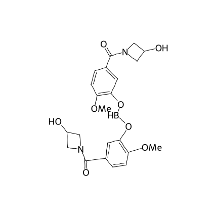 COc1ccc(C(=O)N2CC(O)C2)cc1OBOc1cc(C(=O)N2CC(O)C2)ccc1OC